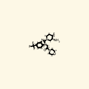 N[C@@H]1CN(c2nc3cc(C(F)(F)F)ccc3n2CC(=O)N2CCOCC2)CC[C@H]1F